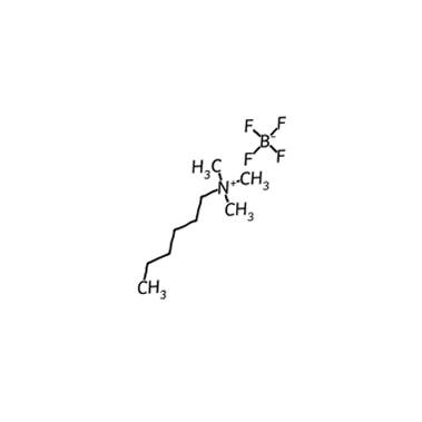 CCCCCC[N+](C)(C)C.F[B-](F)(F)F